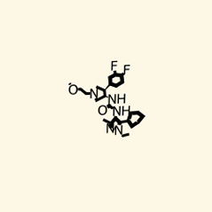 CCn1nc(C)c(NC(=O)N[C@@H]2CN(CCOC)C[C@H]2c2ccc(F)c(F)c2)c1-c1ccccc1